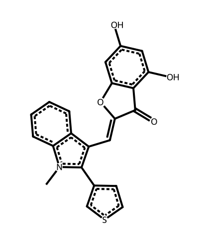 Cn1c(-c2ccsc2)c(C=C2Oc3cc(O)cc(O)c3C2=O)c2ccccc21